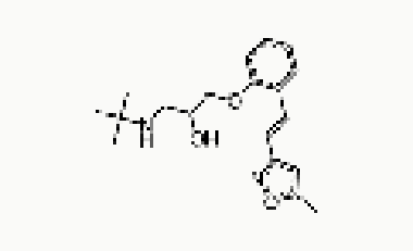 Cc1cc(C=Cc2ccccc2OCC(O)CNC(C)(C)C)no1